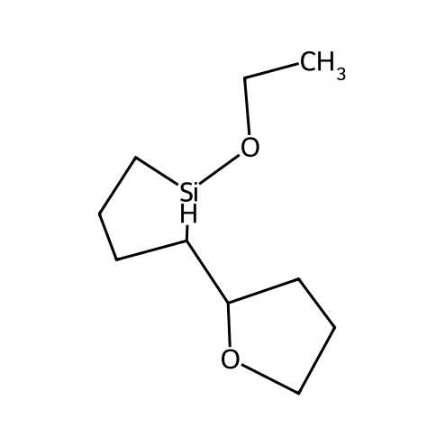 CCO[SiH]1CCCC1C1CCCO1